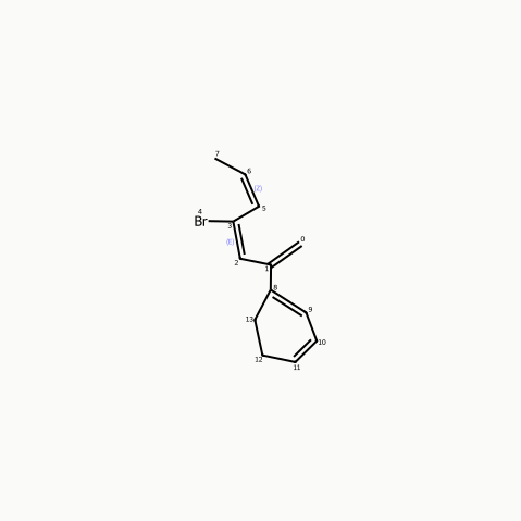 C=C(/C=C(Br)\C=C/C)C1=CC=CCC1